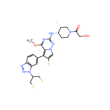 COc1nc(N[C@H]2CCN(C(=O)CO)C[C@H]2F)nn2cc(F)c(-c3ccc4nnn(C(CF)CF)c4c3)c12